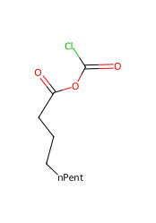 CCCCCCCCC(=O)OC(=O)Cl